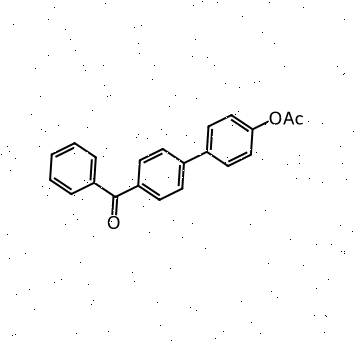 CC(=O)Oc1ccc(-c2ccc(C(=O)c3ccccc3)cc2)cc1